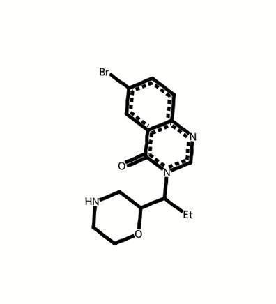 CCC(C1CNCCO1)n1cnc2ccc(Br)cc2c1=O